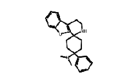 CN(C)C1(c2ccccc2)CCC2(CC1)NCCc1c2oc2ccccc12